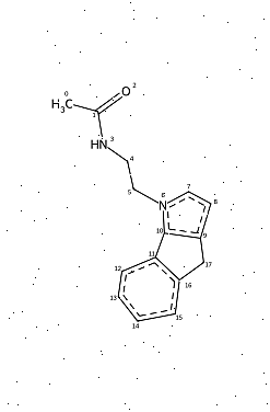 CC(=O)NCCn1ccc2c1-c1ccccc1C2